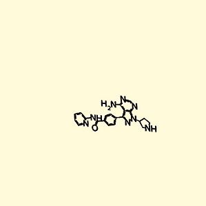 Nc1ncnc2c1c(-c1ccc(C(=O)Nc3ccccn3)cc1)nn2C1CCNC1